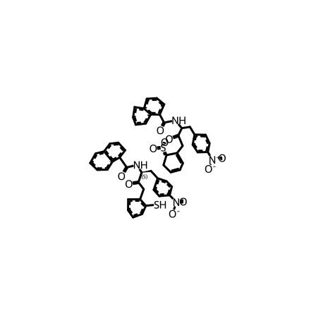 O=C(NC(Cc1ccc([N+](=O)[O-])cc1)C(=O)CC1=CC=CCC1=S(=O)=O)c1cccc2ccccc12.O=C(N[C@@H](Cc1ccc([N+](=O)[O-])cc1)C(=O)Cc1ccccc1S)c1cccc2ccccc12